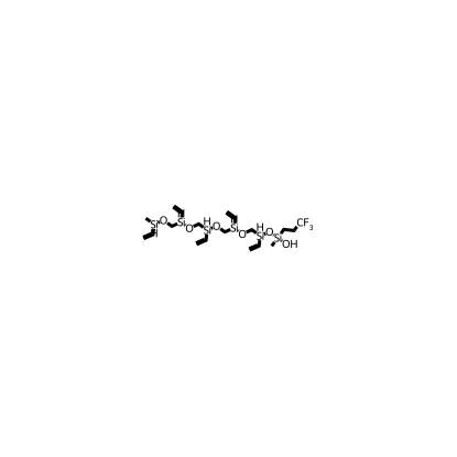 C=C[SiH](C)OC[SiH](C=C)OC[SiH](C=C)OC[SiH](C=C)OC[SiH](C=C)O[Si](C)(O)CCC(F)(F)F